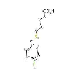 O=C(O)CCCCSCc1ccc(F)cc1